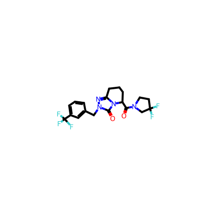 O=C(C1CCCc2nn(Cc3cccc(C(F)(F)F)c3)c(=O)n21)N1CCC(F)(F)C1